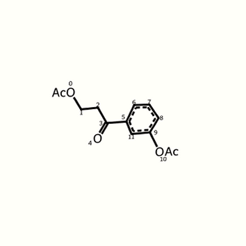 CC(=O)OCCC(=O)c1cccc(OC(C)=O)c1